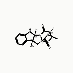 CCC[C@]12C[C@@]34SS[C@](C)(C(=O)N3[C@H]1Nc1ccccc12)N(C)C4=O